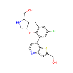 Cc1cc(Cl)cc(-c2ccnc3cc(CO)sc23)c1O[C@@H]1CN[C@@H](CO)C1